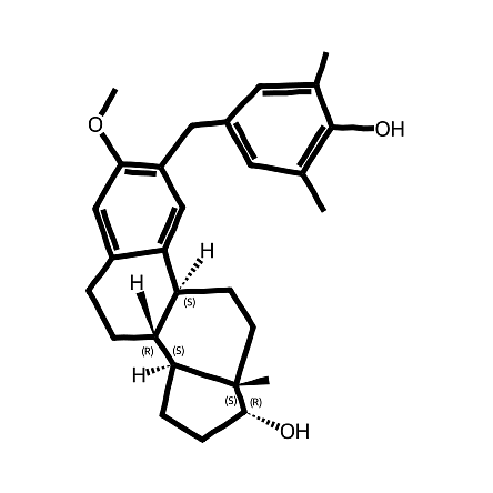 COc1cc2c(cc1Cc1cc(C)c(O)c(C)c1)[C@H]1CC[C@]3(C)[C@H](O)CC[C@H]3[C@@H]1CC2